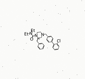 CCN(CC)C(=O)N1CCN(Cc2ccc(-c3ccccc3Cl)cc2)C[C@H]1Cc1ccccc1